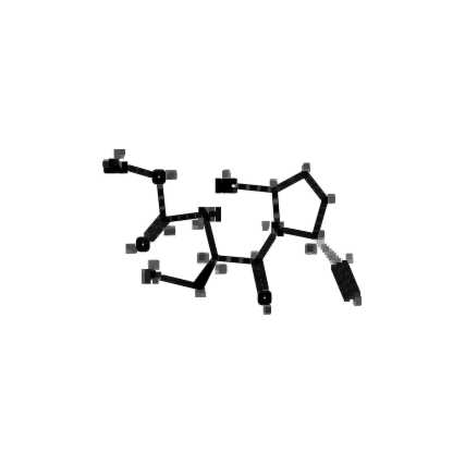 C#C[C@H]1CCC(C#N)N1C(=O)[C@@H](CC(C)C)NC(=O)OC(C)(C)C